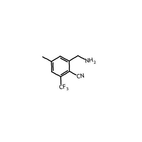 Cc1cc(CN)c(C#N)c(C(F)(F)F)c1